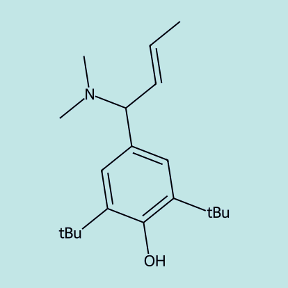 C/C=C/C(c1cc(C(C)(C)C)c(O)c(C(C)(C)C)c1)N(C)C